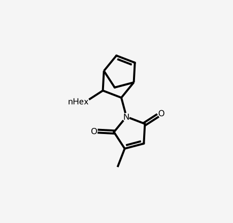 CCCCCCC1C2C=CC(C2)C1N1C(=O)C=C(C)C1=O